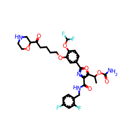 CC(OC(N)=O)c1oc(-c2ccc(OC(F)F)c(OCCCCC(=O)C3CNCCO3)c2)nc1C(=O)NCc1ccc(F)cc1F